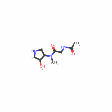 CC(=O)NCC(=O)N(C)C1CNCC1O